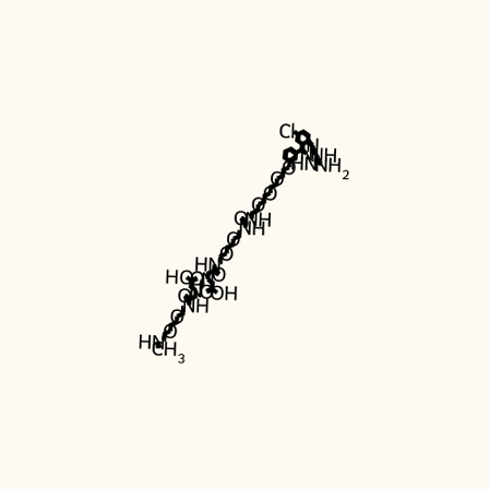 CNCCOCCOCCNC(=O)CN(CCN(CC(=O)O)CC(=O)NCCOCCOCCNC(=O)NCCOCCOCCOCCOc1cccc(-c2nc(NC(=N)N)nc3ccc(Cl)cc23)c1)CC(=O)O